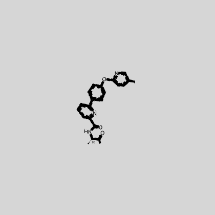 CC(=O)[C@H](C)NC(=O)c1cccc(-c2ccc(Oc3ccc(C)cn3)cc2)n1